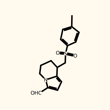 Cc1ccc(S(=O)(=O)CC2CCCn3c(C=O)ccc32)cc1